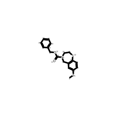 CSc1ccc2c(c1)CN(C(=O)OCc1ccccc1)CCS2